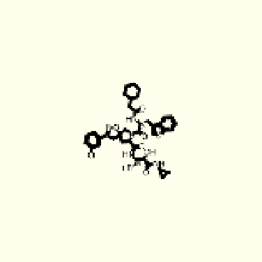 CCC[C@@H](NC(=O)C1CC2(CC(c3cccc(Cl)c3)=NO2)CN1C(=O)[C@H](Cc1csc2ccccc12)NC(=O)CC1CCCCC1)C(O)C(=O)NC1CC1